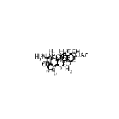 CC(=O)O[C@H]1CC[C@@]2(C)C(CC[C@]3(C)C2CCC2C4[C@H](I)CC[C@]4(C(=O)C(N)N)CC[C@]23C)C1(C)C